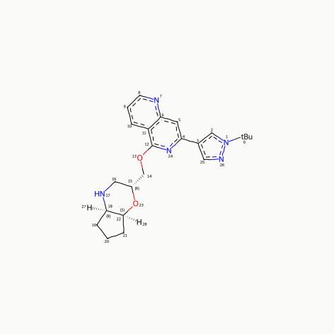 CC(C)(C)n1cc(-c2cc3ncccc3c(OC[C@H]3CN[C@@H]4CCC[C@@H]4O3)n2)cn1